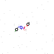 CCOC(=O)c1ccc(OCC(=O)N2C[C@H](C)N(Cc3ccc(F)cc3)C[C@H]2C)cc1